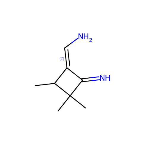 CC1/C(=C/N)C(=N)C1(C)C